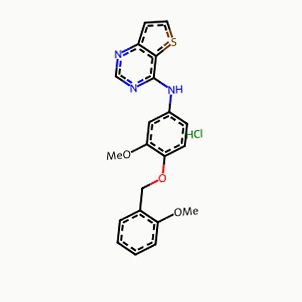 COc1ccccc1COc1ccc(Nc2ncnc3ccsc23)cc1OC.Cl